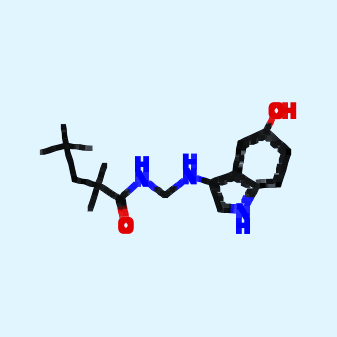 CC(C)(C)CC(C)(C)C(=O)NCNc1c[nH]c2ccc(O)cc12